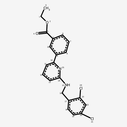 CCOC(=O)c1cccc(-c2cccc(NCc3ccc(Cl)cc3Cl)n2)c1